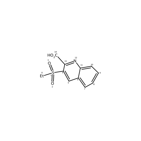 CCS(=O)(=O)c1cc2ccccc2nc1C(=O)O